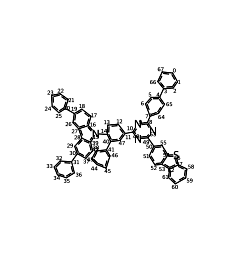 c1ccc(-c2ccc(-c3nc(-c4ccc(-n5c6ccc(-c7ccccc7)cc6c6cc(-c7ccccc7)ccc65)c(-c5ccccc5)c4)nc(-c4ccc5c(c4)sc4ccccc45)n3)cc2)cc1